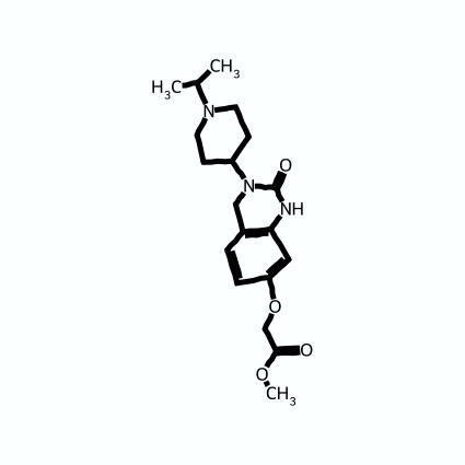 COC(=O)COc1ccc2c(c1)NC(=O)N(C1CCN(C(C)C)CC1)C2